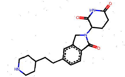 O=C1CCC(N2Cc3cc(CCC4CCNCC4)ccc3C2=O)C(=O)N1